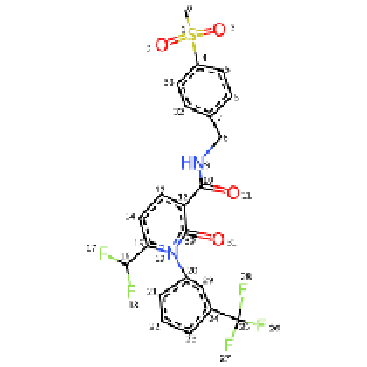 CS(=O)(=O)c1ccc(CNC(=O)c2ccc(C(F)F)n(-c3cccc(C(F)(F)F)c3)c2=O)cc1